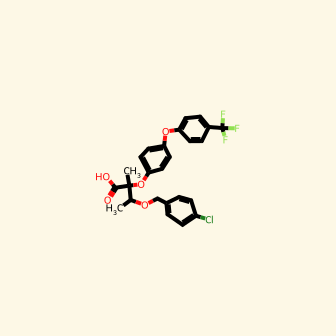 CC(OCc1ccc(Cl)cc1)C(C)(Oc1ccc(Oc2ccc(C(F)(F)F)cc2)cc1)C(=O)O